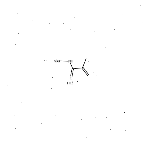 C=C(C)C(=O)NCCCC.Cl